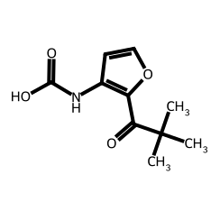 CC(C)(C)C(=O)c1occc1NC(=O)O